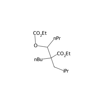 CCCCC(CC(C)C)(C(=O)OCC)C(CCC)OC(=O)OCC